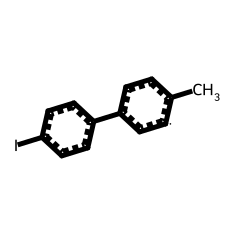 Cc1[c]cc(-c2ccc(I)cc2)cc1